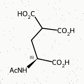 CC(=O)N[C@@H](CC(C(=O)O)C(=O)O)C(=O)O